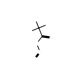 C=NOC(=N)C(C)(O)C(F)(F)F